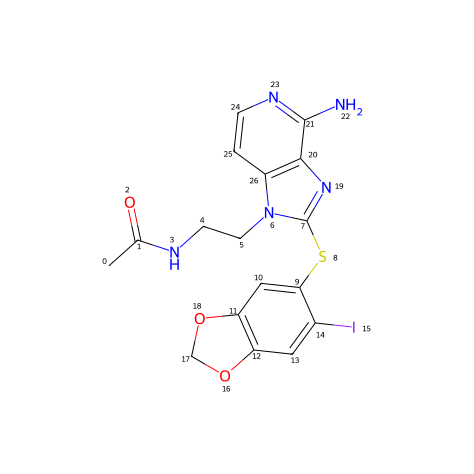 CC(=O)NCCn1c(Sc2cc3c(cc2I)OCO3)nc2c(N)nccc21